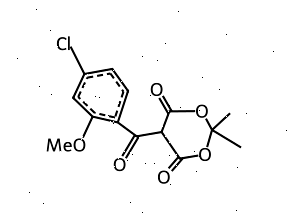 COc1cc(Cl)ccc1C(=O)C1C(=O)OC(C)(C)OC1=O